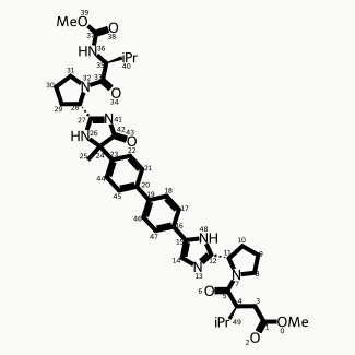 COC(=O)C[C@H](C(=O)N1CCC[C@H]1c1ncc(-c2ccc(-c3ccc(C4(C)NC([C@@H]5CCCN5C(=O)[C@@H](NC(=O)OC)C(C)C)=NC4=O)cc3)cc2)[nH]1)C(C)C